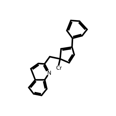 [Cr][C]1(Cc2ccc3ccccc3n2)C=CC(c2ccccc2)=C1